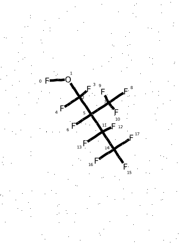 FOC(F)(F)C(F)(C(F)(F)F)C(F)(F)C(F)(F)F